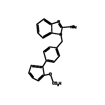 CCCCc1nc2ccccc2n1Cc1ccc(-c2ccccc2OC(=O)O)cc1